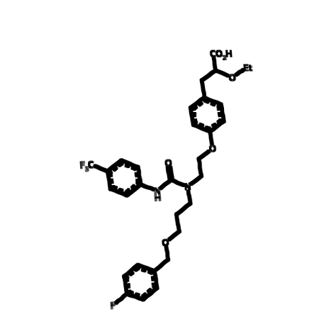 CCOC(Cc1ccc(OCCN(CCCOCc2ccc(F)cc2)C(=O)Nc2ccc(C(F)(F)F)cc2)cc1)C(=O)O